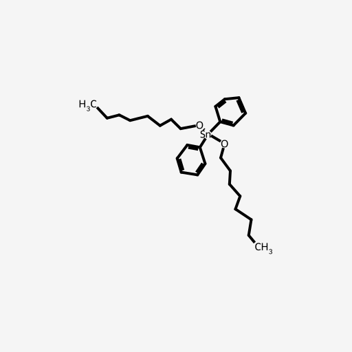 CCCCCCCC[O][Sn]([O]CCCCCCCC)([c]1ccccc1)[c]1ccccc1